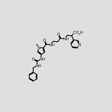 Cn1cc(NC(=O)NCc2ccccc2)cc1C(=O)NCCC(=O)NCC(C(=O)O)c1cccnc1